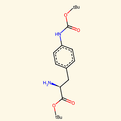 CC(C)(C)OC(=O)Nc1ccc(C[C@H](N)C(=O)OC(C)(C)C)cc1